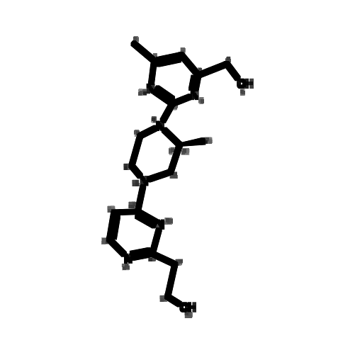 Cc1cc(CO)nc(N2CCN(c3ccnc(CCO)n3)C[C@@H]2C)n1